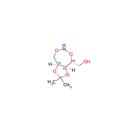 CC1(C)O[C@H]2[C@H](CONO[C@@H]2CO)O1